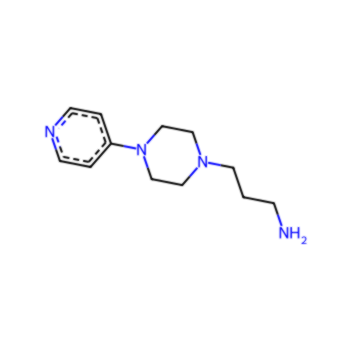 NCCCN1CCN(c2ccncc2)CC1